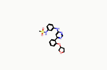 CS(=O)(=O)Nc1cccc(Nc2cc(-c3ccccc3OC3CCOC3)ncn2)c1